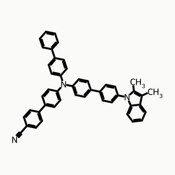 Cc1c(C)n(-c2ccc(-c3ccc(N(c4ccc(-c5ccccc5)cc4)c4ccc(-c5ccc(C#N)cc5)cc4)cc3)cc2)c2ccccc12